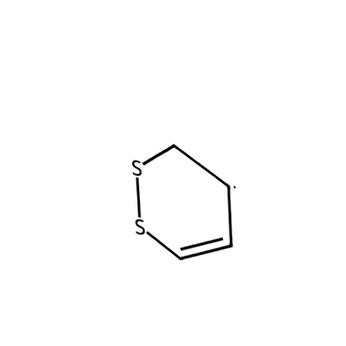 [CH]1C=CSSC1